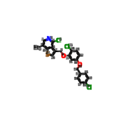 CCc1cnc(Cl)c2c(COc3cc(OCc4ccc(Cl)cc4)ccc3Cl)csc12